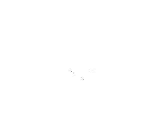 CCn1nnc(C)c1C(Cl)(Cl)Cl